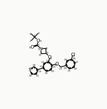 CC(C)(C)OC(=O)N1CC(Oc2cc(-c3ccsc3)ccc2OCc2cccc(Cl)c2)C1